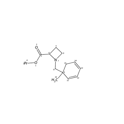 CC(C)OC(=O)C1CCN1CC1(C)C=CC=CC1